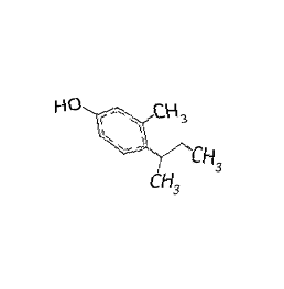 CCC(C)c1ccc(O)cc1C